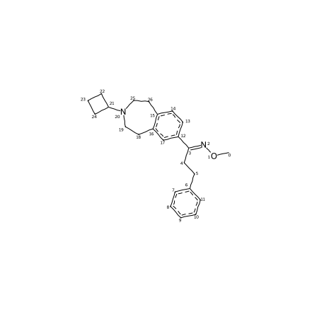 CO/N=C(\CCc1ccccc1)c1ccc2c(c1)CCN(C1CCC1)CC2